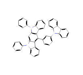 c1ccc(-n2c3ccccc3c3c(-c4cccc(-n5c6ccccc6c6ccccc65)c4)c4c5ccccc5n(-c5ccccc5)c4cc32)cc1